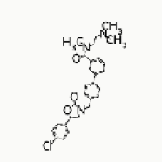 CN(C)CCN(C)C(=O)c1cccc(-c2ccc(CN3C[C@@H](c4ccc(Cl)cc4)OC3=O)cc2)c1